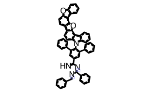 N=C(/N=C(\N=C\c1ccccc1)c1ccccc1)c1cc(-c2ccccc2)c(-n2c3ccccc3c3c4oc5c(ccc6oc7ccccc7c65)c4ccc32)c(-c2ccccc2)c1